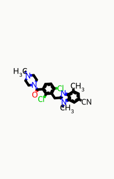 Cc1cc(C#N)cc2c1nc(Cc1c(Cl)ccc(C(=O)N3CCN(C)CC3)c1Cl)n2C